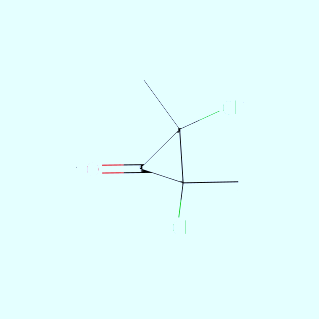 CC1(Cl)C(=O)C1(C)Cl